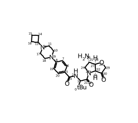 CC(C)(C)C(NC(=O)c1ccc(N2CCN(C3CCC3)CC2)cc1)C(=O)N1C[C@H](N)[C@H]2OCC(=O)[C@H]21